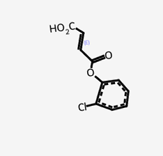 O=C(O)/C=C/C(=O)Oc1ccccc1Cl